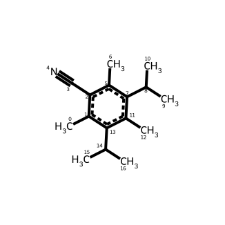 Cc1c(C#N)c(C)c(C(C)C)c(C)c1C(C)C